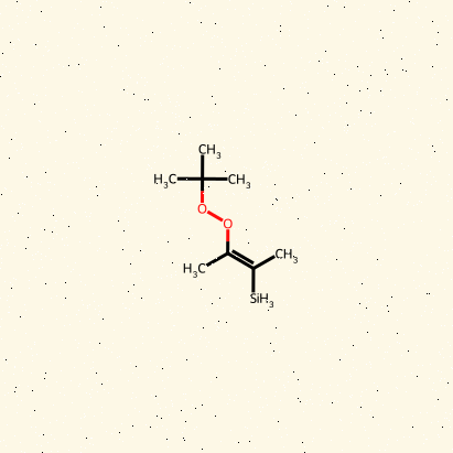 CC([SiH3])=C(C)OOC(C)(C)C